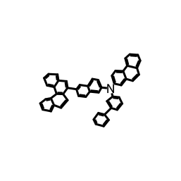 c1ccc(-c2cccc(N(c3ccc4cc(-c5cc6ccccc6c6c5ccc5ccccc56)ccc4c3)c3ccc4c(ccc5ccccc54)c3)c2)cc1